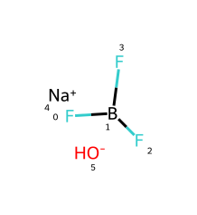 FB(F)F.[Na+].[OH-]